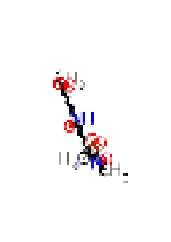 COC(=O)CCCCCNC(=O)CCCC[C@H]1[C@@H](C)[C@@H](NC(C)=O)CS1(=O)=O